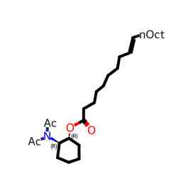 CCCCCCCCC=CCCCCCCCC(=O)O[C@@H]1CCCC[C@H]1N(C(C)=O)C(C)=O